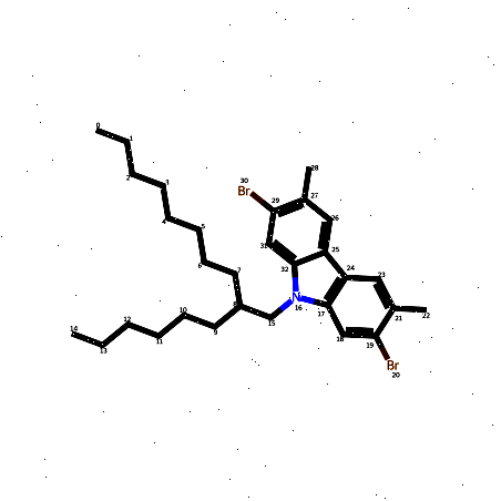 CCCCCCCCC(CCCCCC)Cn1c2cc(Br)c(C)cc2c2cc(C)c(Br)cc21